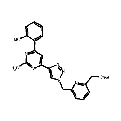 COCc1cccc(Cn2cc(-c3cc(-c4ccccc4C#N)nc(N)n3)nn2)n1